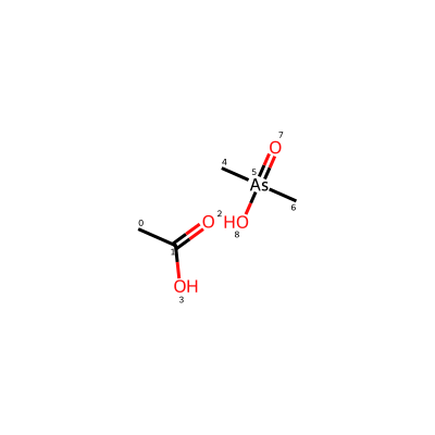 CC(=O)O.C[As](C)(=O)O